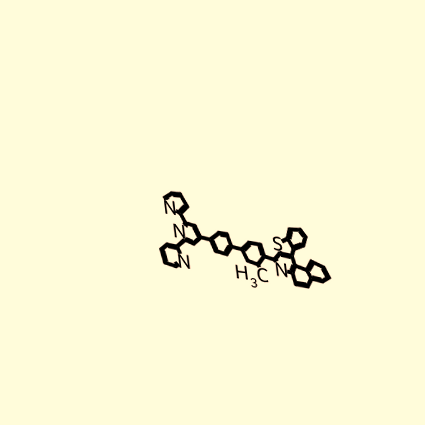 CC1CC(c2ccc(-c3cc(-c4ccccn4)nc(-c4ccccn4)c3)cc2)=CC=C1c1nc2ccc3ccccc3c2c2c1sc1ccccc12